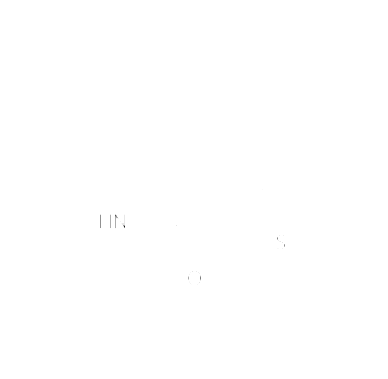 [NH]C(=O)C1=CC=CCC1=S